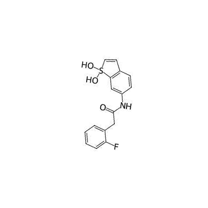 O=C(Cc1ccccc1F)Nc1ccc2c(c1)S(O)(O)C=C2